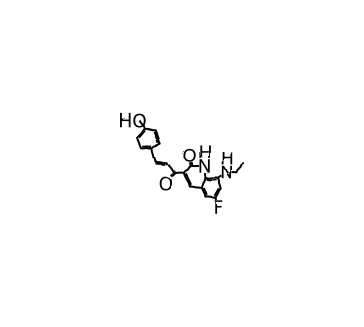 CCNc1cc(F)cc2cc(C(=O)/C=C/c3ccc(O)cc3)c(=O)[nH]c12